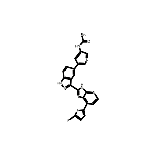 CC(C)(C)C(=O)Nc1cncc(-c2ccc3[nH]nc(-c4nc5c(-c6ccc(F)s6)ccnc5[nH]4)c3c2)c1